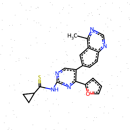 Cc1ncnc2ccc(-c3cnc(NC(=S)C4CC4)nc3-c3ccco3)cc12